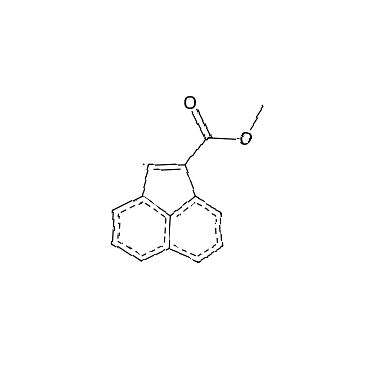 COC(=O)C1=[C]c2cccc3cccc1c23